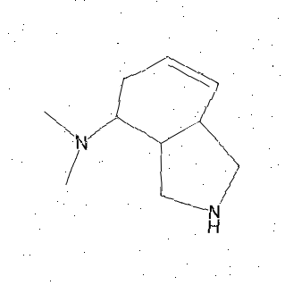 CN(C)C1CC=CC2CNCC21